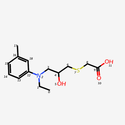 CCN(CC(O)CSCC(=O)O)c1cccc(C)c1